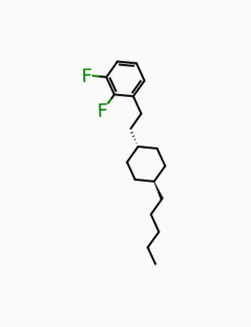 CCCCC[C@H]1CC[C@H](CCc2cccc(F)c2F)CC1